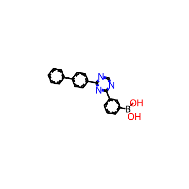 OB(O)c1cccc(-c2ncnc(-c3ccc(-c4ccccc4)cc3)n2)c1